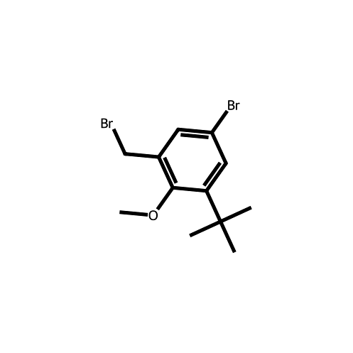 COc1c(CBr)cc(Br)cc1C(C)(C)C